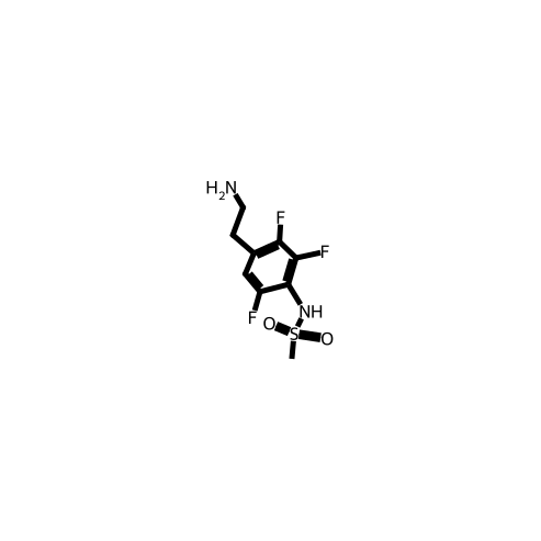 CS(=O)(=O)Nc1c(F)cc(CCN)c(F)c1F